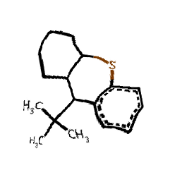 CC(C)(C)C1c2ccccc2SC2CCCCC21